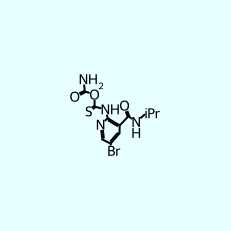 CC(C)NC(=O)c1cc(Br)cnc1NC(=S)OC(N)=O